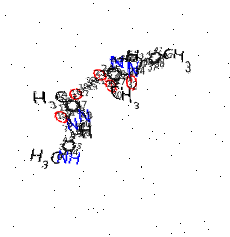 CNc1ccc(C2=CN3C(=O)c4cc(C)c(OCCCCCOc5cc6c(cc5OC)C(=O)N5C=C(c7ccc(C)cc7)C[C@H]5C=N6)cc4N=C[C@@H]3C2)cc1